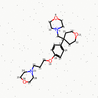 c1cc(C2(CN3CCOCC3)CCOCC2)ccc1OCCCN1CCOCC1